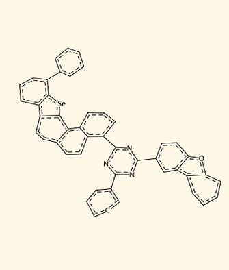 c1ccc(-c2nc(-c3ccc4oc5ccccc5c4c3)nc(-c3cccc4c3ccc3ccc5c6cccc(-c7ccccc7)c6[se]c5c34)n2)cc1